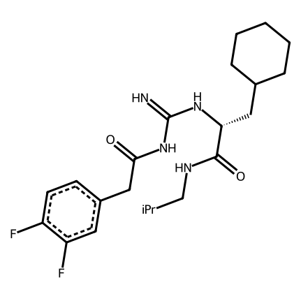 CC(C)CNC(=O)[C@@H](CC1CCCCC1)NC(=N)NC(=O)Cc1ccc(F)c(F)c1